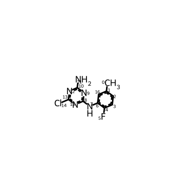 Cc1ccc(F)c(Nc2nc(N)nc(Cl)n2)c1